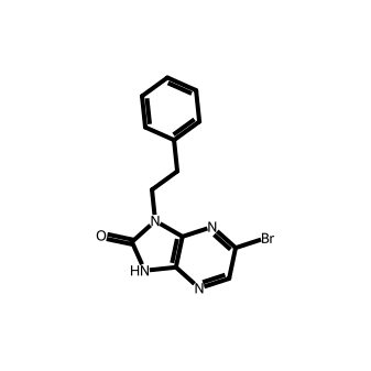 O=c1[nH]c2ncc(Br)nc2n1CCc1ccccc1